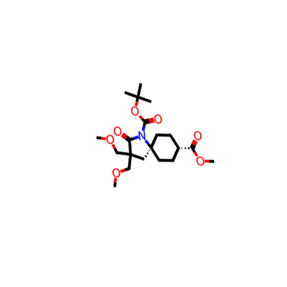 COCC1(COC)C[C@]2(CC[C@@H](C(=O)OC)CC2)N(C(=O)OC(C)(C)C)C1=O